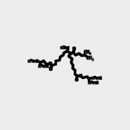 CCCCCCCCCCC(CCCCCCC(=O)OCCC(CCCCC)CCCCC)N(CCCCCCCC(=O)OCCC(CCCCC)CCCCC)C(=O)CCCN(C)C